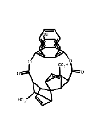 CC(C)(C)c1ccc2c3c4ccccc4c(c2c1)OC(=O)C1C(C(=O)O)C2C=CC1C21C2C=CC1C(C(=O)O3)C2C(=O)O